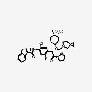 CCOC(=O)[C@H]1CC[C@H](OC([C@@H]2CCCN2C(=O)Cc2cc(Cl)c(NC(=O)c3csc4ccccc34)cc2F)N2CCC3(CC3)C2)CC1